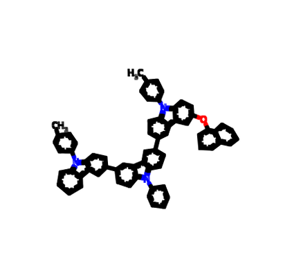 Cc1ccc(-n2c3ccccc3c3cc(-c4ccc5c(c4)c4cc(-c6ccc7c(c6)c6cc(Oc8cccc9ccccc89)ccc6n7-c6ccc(C)cc6)ccc4n5-c4ccccc4)ccc32)cc1